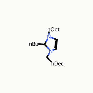 CCCCCCCCCCCN1C=CN(CCCCCCCC)C1CCCC